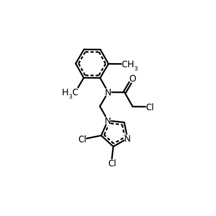 Cc1cccc(C)c1N(Cn1cnc(Cl)c1Cl)C(=O)CCl